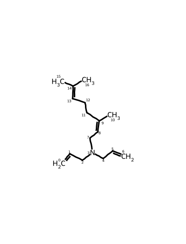 C=CCN(CC=C)CC=C(C)CCC=C(C)C